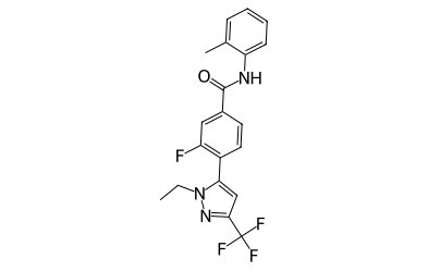 CCn1nc(C(F)(F)F)cc1-c1ccc(C(=O)Nc2ccccc2C)cc1F